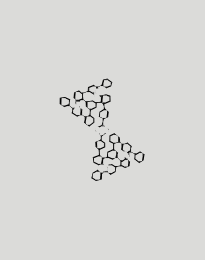 C1=CC(c2cnc(-c3ccc(-c4ccccc4-c4cc(-c5ccccc5-c5ccc(-c6ccccc6)nc5)cc(-c5ccccc5-c5ccc(-c6ccccc6)nc5)c4)cc3)cn2)CC=C1c1ccccc1-c1cc(-c2ccccc2-c2ccc(-c3ccccc3)nc2)cc(-c2ccccc2-c2ccc(-c3ccccc3)nc2)c1